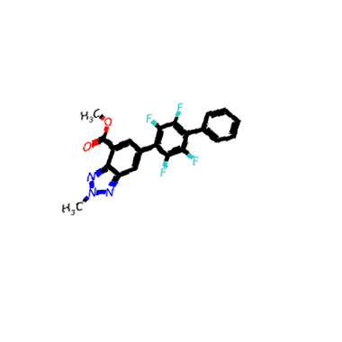 COC(=O)c1cc(-c2c(F)c(F)c(-c3ccccc3)c(F)c2F)cc2nn(C)nc12